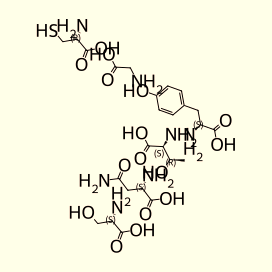 C[C@@H](O)[C@H](N)C(=O)O.NC(=O)C[C@H](N)C(=O)O.NCC(=O)O.N[C@@H](CO)C(=O)O.N[C@@H](CS)C(=O)O.N[C@@H](Cc1ccc(O)cc1)C(=O)O